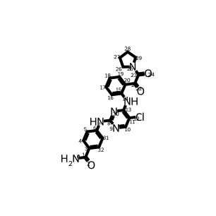 NC(=O)c1ccc(Nc2ncc(Cl)c(Nc3ccccc3C(=O)C(=O)N3CCCC3)n2)cc1